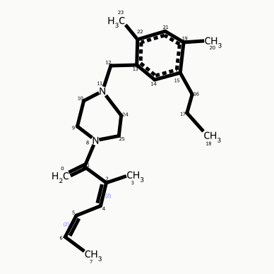 C=C(/C(C)=C\C=C/C)N1CCN(Cc2cc(CCC)c(C)cc2C)CC1